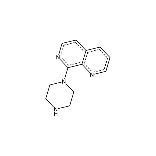 c1cnc2c(N3CCNCC3)nccc2c1